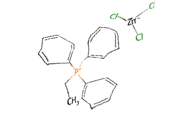 CC[P+](c1ccccc1)(c1ccccc1)c1ccccc1.[Cl][Zn-]([Cl])[Cl]